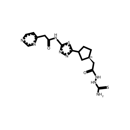 NC(=S)NNC(=O)C[C@@H]1CCC(c2nnc(NC(=O)Cc3ccncn3)s2)C1